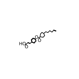 C=CCCCCC1CCC(C(=O)Oc2ccc(/C=C/C(=O)O)cc2)CC1